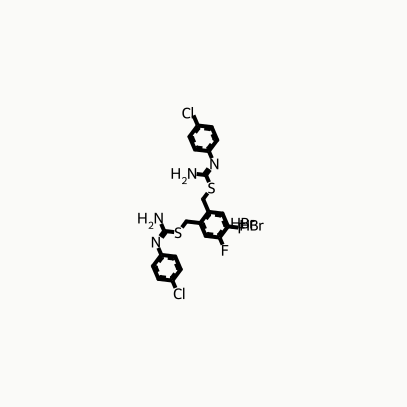 Br.Br.NC(=Nc1ccc(Cl)cc1)SCc1cc(F)c(F)cc1CS/C(N)=N/c1ccc(Cl)cc1